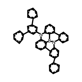 c1ccc(-c2cc(-c3ccccc3)cc(N3c4cccc5c4B4c6c(cccc63)-c3cc(-c6ccccc6)ccc3N4c3ccccc3-5)c2)cc1